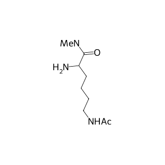 CNC(=O)C(N)CCCCNC(C)=O